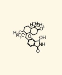 C[C@H]1CC[C@H]2C(C)(C)C(=O)CC[C@]23Oc2c(ccc4c2C(O)NC4=O)C[C@]13C